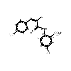 CC(=Cc1ccc(C(F)(F)F)cc1)C(=O)Nc1ccc(Cl)cc1C(=O)O